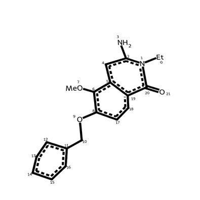 CCn1c(N)cc2c(OC)c(OCc3ccccc3)ccc2c1=O